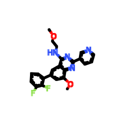 COCCNc1nc(-c2cccnc2)nc2c(OC)cc(-c3cccc(F)c3F)cc12